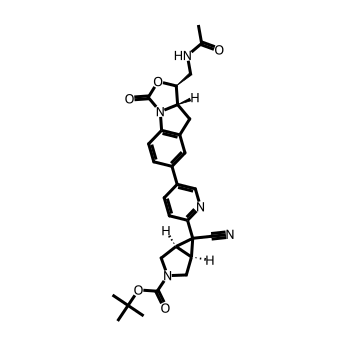 CC(=O)NC[C@@H]1OC(=O)N2c3ccc(-c4ccc(C5(C#N)[C@@H]6CN(C(=O)OC(C)(C)C)C[C@@H]65)nc4)cc3C[C@@H]12